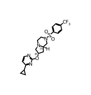 O=S(=O)(c1ccc(C(F)(F)F)cc1)N1CCN2C[C@H](Oc3nccc(C4CC4)n3)C[C@H]2C1